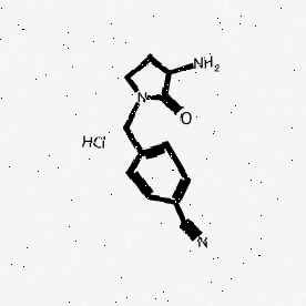 Cl.N#Cc1ccc(CN2CCC(N)C2=O)cc1